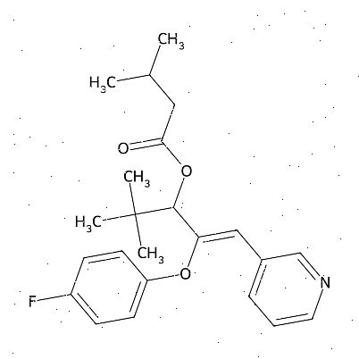 CC(C)CC(=O)OC(/C(=C/c1cccnc1)Oc1ccc(F)cc1)C(C)(C)C